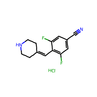 Cl.N#Cc1cc(F)c(C=C2CCNCC2)c(F)c1